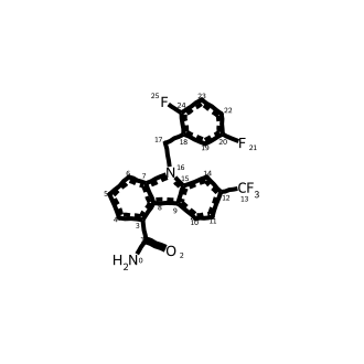 NC(=O)c1cccc2c1c1[c]cc(C(F)(F)F)cc1n2Cc1cc(F)ccc1F